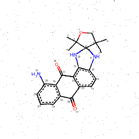 CC1(C)COC(C)(C)C12Nc1ccc3c(c1N2)C(=O)c1c(N)cccc1C3=O